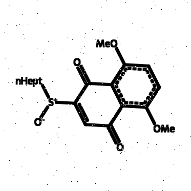 CCCCCCC[S+]([O-])C1=CC(=O)c2c(OC)ccc(OC)c2C1=O